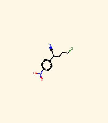 N#C[C](CCCCl)c1ccc([N+](=O)[O-])cc1